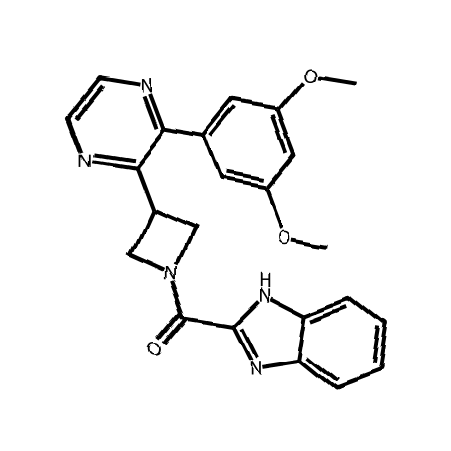 COc1cc(OC)cc(-c2nccnc2C2CN(C(=O)c3nc4ccccc4[nH]3)C2)c1